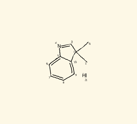 CC1(C)C=Nc2ccccc21.I